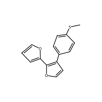 CSc1ccc(-c2ccoc2-c2ccco2)cc1